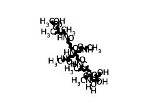 CCNC(=O)CCC(CCC(=O)NCC)(CCC(=O)NCC(CC)CC(CC)COC1OC(CO)C(O)C(O)C1NC(C)=O)NC(=O)CCCC(=O)NCC(C)CC(CC)COP(=O)(O)CC